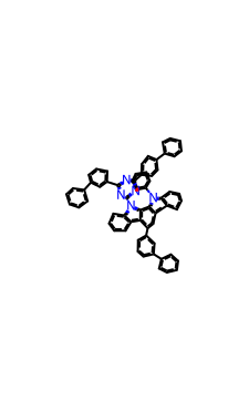 c1ccc(-c2ccc(-c3nc(-c4cccc(-c5ccccc5)c4)nc(-n4c5ccccc5c5c(-c6cccc(-c7ccccc7)c6)cc6c7ccccc7n(-c7ccccc7)c6c54)n3)cc2)cc1